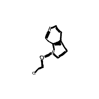 ClCOn1ccc2ccncc21